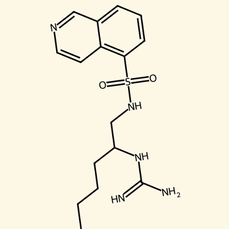 CCCCC(CNS(=O)(=O)c1cccc2cnccc12)NC(=N)N